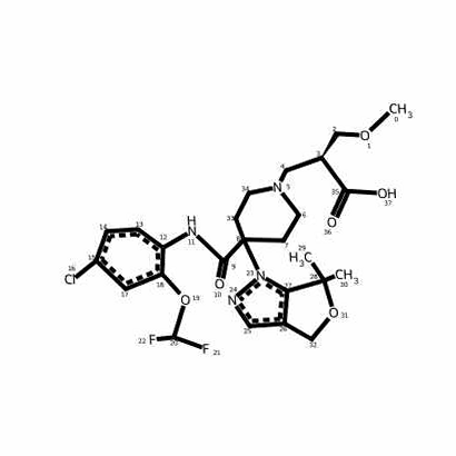 COC[C@H](CN1CCC(C(=O)Nc2ccc(Cl)cc2OC(F)F)(n2ncc3c2C(C)(C)OC3)CC1)C(=O)O